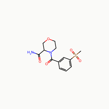 CS(=O)(=O)c1cccc(C(=O)N2CCOCC2C(N)=O)c1